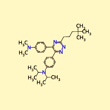 CC(C)N(c1ccc(-c2nnc(CCCC(C)(C)C)nc2-c2ccc(N(C)C)cc2)cc1)C(C)C